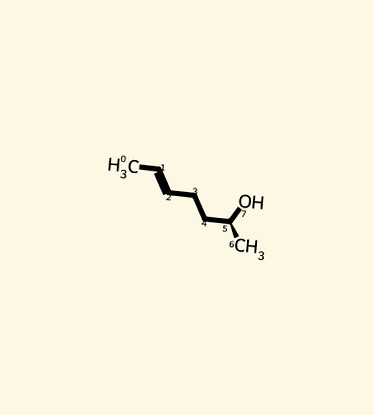 C/C=C/CC[C@H](C)O